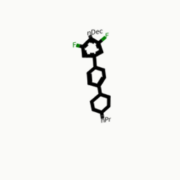 CCCCCCCCCCc1c(F)cc(C2C=CC(C3CCC(CCC)CC3)=CC2)cc1F